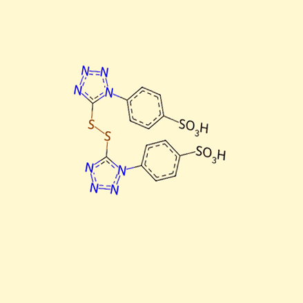 O=S(=O)(O)c1ccc(-n2nnnc2SSc2nnnn2-c2ccc(S(=O)(=O)O)cc2)cc1